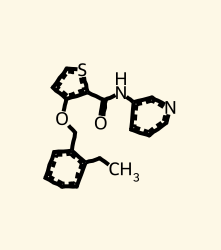 CCc1ccccc1COc1ccsc1C(=O)Nc1cccnc1